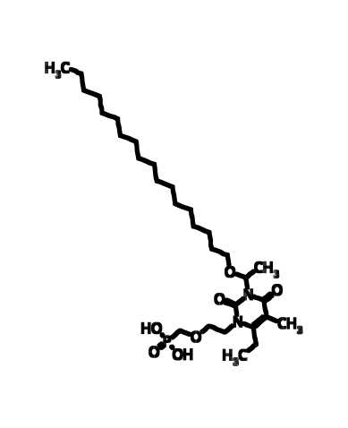 CCCCCCCCCCCCCCCCCCOC(C)n1c(=O)c(C)c(CC)n(CCOCP(=O)(O)O)c1=O